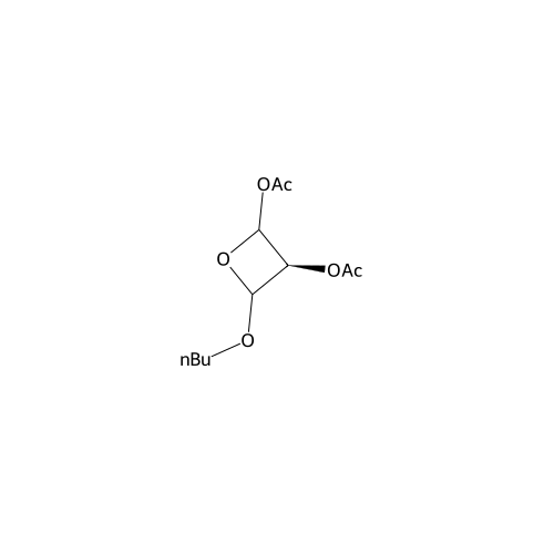 CCCCOC1OC(OC(C)=O)[C@H]1OC(C)=O